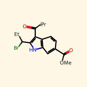 CCC(Br)c1[nH]c2cc(C(=O)OC)ccc2c1C(=O)C(C)C